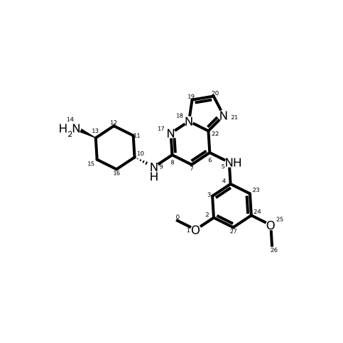 COc1cc(Nc2cc(N[C@H]3CC[C@H](N)CC3)nn3ccnc23)cc(OC)c1